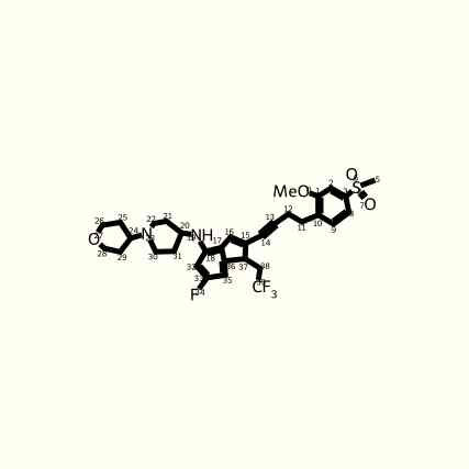 COc1cc(S(C)(=O)=O)ccc1CCC#CC1=Cc2c(NC3CCN(C4CCOCC4)CC3)cc(F)cc2C1CC(F)(F)F